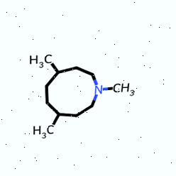 CC1CCC(C)CCN(C)CC1